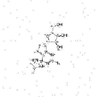 CC(C)NC1(N)N=C(I)N=C2C1=NCN2[C@@H]1O[C@H](CO)[C@@H](O)[C@H]1O